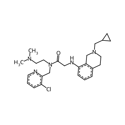 CN(C)CCN(Cc1ncccc1Cl)C(=O)CNc1cccc2c1CN(CC1CC1)CC2